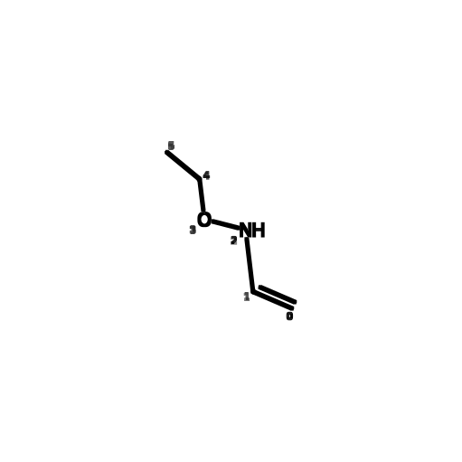 C=CNOCC